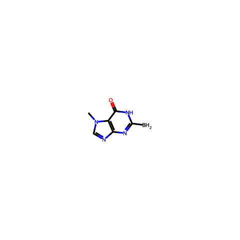 Bc1nc2ncn(C)c2c(=O)[nH]1